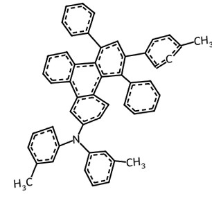 Cc1ccc(-c2cc(-c3ccccc3)c3c4ccccc4c4cc(N(c5cccc(C)c5)c5cccc(C)c5)ccc4c3c2-c2ccccc2)cc1